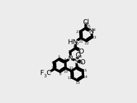 O=C(CN1c2ccc(C(F)(F)F)cc2-c2ccccc2S1(=O)=O)Nc1ccnc(Cl)c1